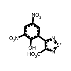 O=C(O)c1n[s+][n-]c1-c1cc([N+](=O)[O-])cc([N+](=O)[O-])c1O